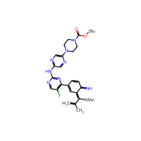 C=C(C)/C(NC)=C1\C=C(c2nc(Nc3cnc(N4CCN(C(=O)OC(C)(C)C)CC4)cn3)ncc2F)C=CC1=N